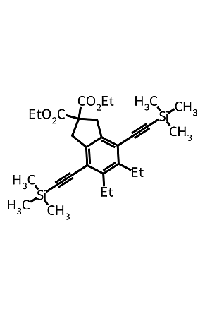 CCOC(=O)C1(C(=O)OCC)Cc2c(C#C[Si](C)(C)C)c(CC)c(CC)c(C#C[Si](C)(C)C)c2C1